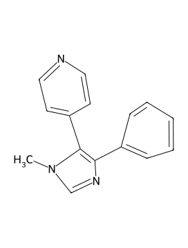 Cn1cnc(-c2ccccc2)c1-c1ccncc1